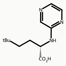 CC(C)(C)CC[C@H](Nc1cnccn1)C(=O)O